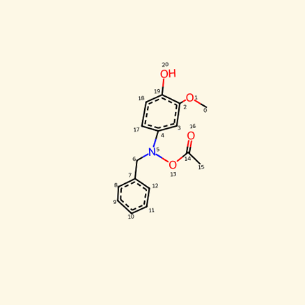 COc1cc(N(Cc2ccccc2)OC(C)=O)ccc1O